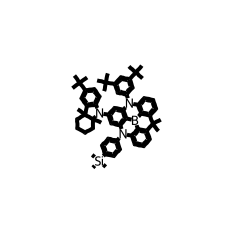 CC(C)(C)c1cc(N2c3cc(N4c5ccc(C(C)(C)C)cc5C5(C)CCCCC45C)cc4c3B3c5c(cccc5C(C)(C)c5cccc2c53)N4c2ccc([Si](C)(C)C)cc2)cc(C(C)(C)C)c1